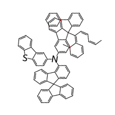 C\C=C/C=C\C(=C1/C=CC=CC1C)C1(c2ccccc2-c2ccccc2)c2ccccc2-c2cc(N(c3ccc4sc5ccccc5c4c3)c3cccc4c3-c3ccccc3C43c4ccccc4-c4ccccc43)ccc21